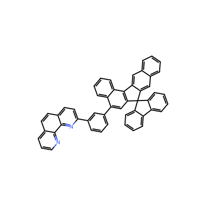 c1cc(-c2ccc3ccc4cccnc4c3n2)cc(-c2cc3c(c4ccccc24)-c2cc4ccccc4cc2C32c3ccccc3-c3ccccc32)c1